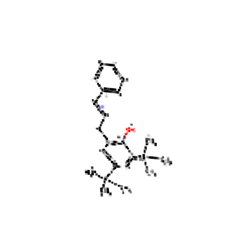 CC(C)(C)c1cc(C/C=C/c2ccccc2)c(O)c(C(C)(C)C)c1